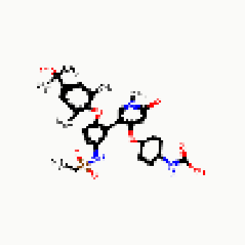 CCS(=O)(=O)Nc1ccc(Oc2c(C)cc(C(C)(C)O)cc2C)c(-c2cn(C)c(=O)cc2OC2CCC(NC(=O)O)CC2)c1